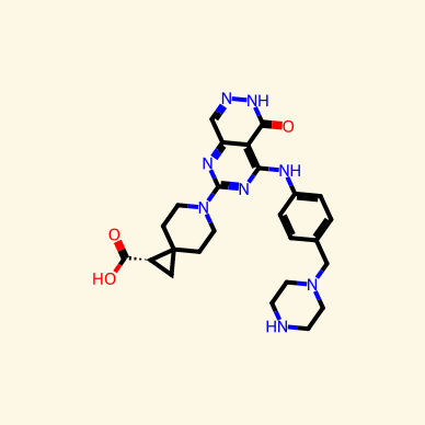 O=C(O)[C@H]1CC12CCN(c1nc(Nc3ccc(CN4CCNCC4)cc3)c3c(=O)[nH]ncc3n1)CC2